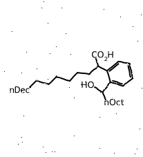 CCCCCCCCCCCCCCCCC(C(=O)O)c1ccccc1C(O)CCCCCCCC